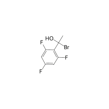 CC(O)(Br)c1c(F)cc(F)cc1F